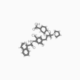 O=C(Nc1cc(F)c(CC(=O)C(F)(OC2CCC(C(=O)O)CC2)N2CCCC2)cc1Cl)c1nccc2ccccc12